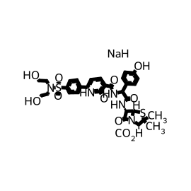 CC1(C)S[C@@H]2[C@H](NC(=O)C(NC(=O)c3ccc(-c4ccc(S(=O)(=O)N(CCO)CCO)cc4)[nH]c3=O)c3ccc(O)cc3)C(=O)N2[C@H]1C(=O)O.[NaH]